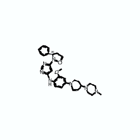 COc1cc(N2CCC(N3CCN(C)CC3)CC2)ccc1Nc1cc(N2OCC[C@@H]2c2ccccc2)ncn1